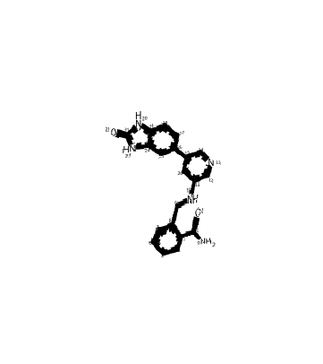 NC(=O)c1ccccc1CNc1cncc(-c2ccc3[nH]c(=O)[nH]c3c2)c1